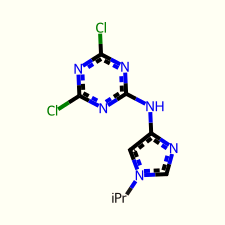 CC(C)n1cnc(Nc2nc(Cl)nc(Cl)n2)c1